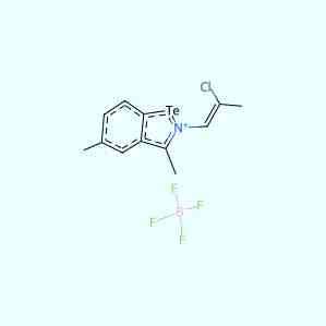 CC(Cl)=C[n+]1[te]c2ccc(C)cc2c1C.F[B-](F)(F)F